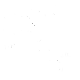 CN(C)CCCOCc1nn(Cc2ccccc2)c2ccccc12.Cl